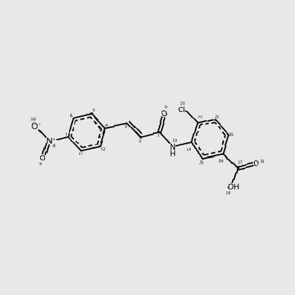 O=C(C=Cc1ccc([N+](=O)[O-])cc1)Nc1cc(C(=O)O)ccc1Cl